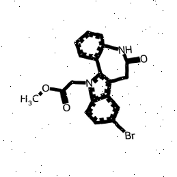 COC(=O)Cn1c2c(c3cc(Br)ccc31)CC(=O)Nc1ccccc1-2